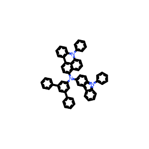 c1ccc(-c2cc(-c3ccccc3)cc(N(c3ccc4c(c3)c3ccccc3n4-c3ccccc3)c3ccc4c5c(cccc35)N(c3ccccc3)c3ccccc3-4)c2)cc1